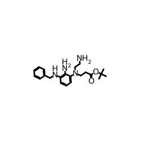 CC(C)(C)OC(=O)CCN(CCN)c1cccc(NCc2ccccc2)c1N